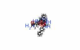 C[C@H](NC(=O)c1ccc(-c2ccccc2)cc1)C(=O)N[C@@H](Cc1ccccc1)C(=O)N[C@@H](C)C(=O)NC(CCC(N)=O)C(O)C(F)(F)F